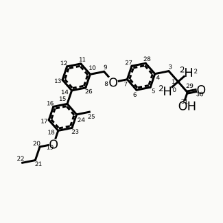 [2H]C([2H])(Cc1ccc(OCc2cccc(-c3ccc(OCCC)cc3C)c2)cc1)C(=O)O